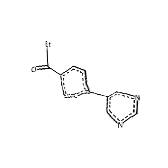 CCC(=O)c1ccc(-c2cncnc2)cc1